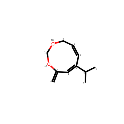 C=C1/C=C(C(C)C)\C=C/COCO1